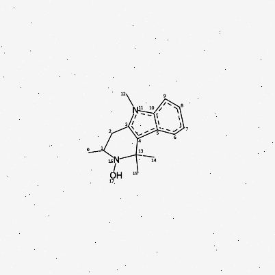 CC1Cc2c(c3ccccc3n2C)C(C)(C)N1O